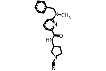 CN(Cc1ccccc1)c1cccc(C(=O)NC2CCN(C#N)C2)n1